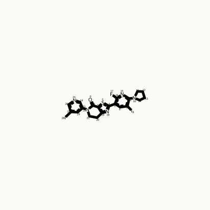 O=C1c2sc(-c3cc(I)c(N4CCCC4)nc3F)nc2CCN1c1cncc(I)c1